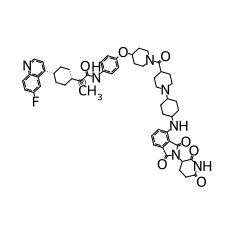 C[C@@H](C(=O)Nc1ccc(OC2CCN(C(=O)C3CCN(C4CCC(Nc5cccc6c5C(=O)N(C5CCC(=O)NC5=O)C6=O)CC4)CC3)CC2)cc1)[C@H]1CC[C@@H](c2ccnc3ccc(F)cc32)CC1